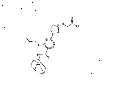 CCCSc1nc(N2CC[C@H](OCC(=O)O)C2)ccc1C(=O)NC1C2CC3CC(C2)CC1C3